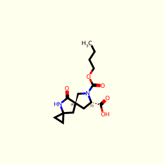 CCCCOC(=O)N1C[C@@]2(C[C@H]1C(=O)O)CC1(CC1)NC2=O